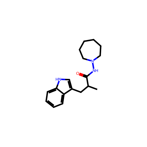 C[C](Cc1c[nH]c2ccccc12)C(=O)NN1CCCCCC1